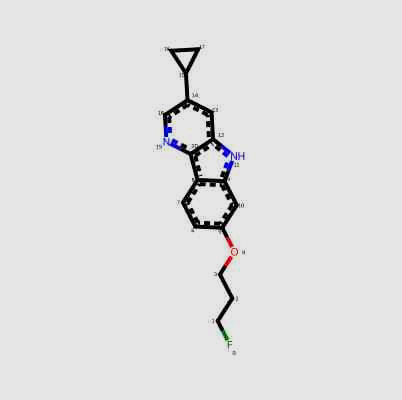 FCCCOc1ccc2c(c1)[nH]c1cc(C3CC3)cnc12